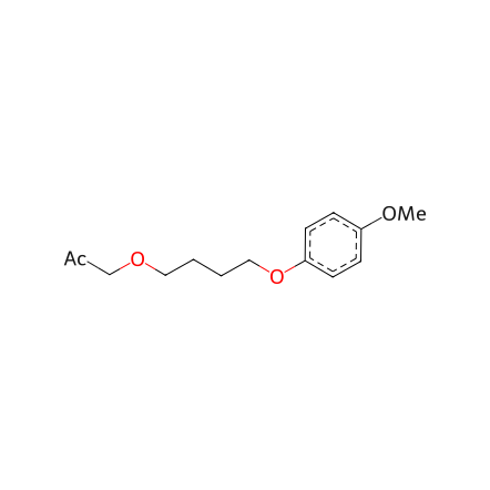 COc1ccc(OCCCCOCC(C)=O)cc1